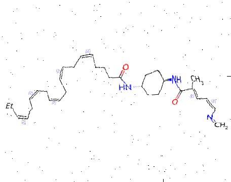 C=N/C=C\C=C(/C)C(=O)N[C@H]1CC[C@H](NC(=O)CCC/C=C\C/C=C\C/C=C\C/C=C\C/C=C\CC)CC1